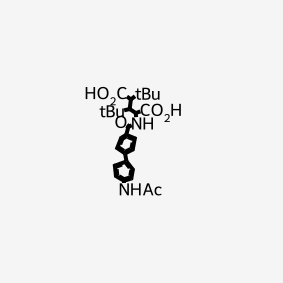 CC(=O)Nc1ccc(-c2ccc(C(=O)NC(C(=O)O)C(C(C(=O)O)C(C)(C)C)C(C)(C)C)cc2)cc1